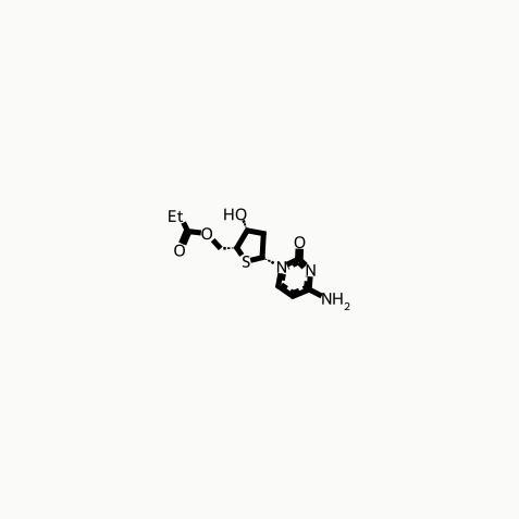 CCC(=O)OC[C@H]1S[C@@H](n2ccc(N)nc2=O)C[C@H]1O